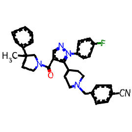 CC1(c2ccccc2)CCN(C(=O)c2cnn(-c3ccc(F)cc3)c2C2CCN(Cc3ccc(C#N)cc3)CC2)C1